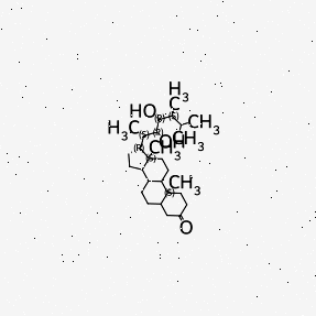 CC(C)[C@H](C)[C@@H](O)[C@H](O)[C@@H](C)[C@H]1CCC2C3CCC4CC(=O)CC[C@]4(C)C3CC[C@@]21C